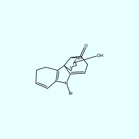 O=C1CC=C2N(Br)C3=C(CCC=C3)C23C=CC=C(O)NC13